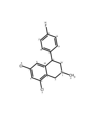 CN1Cc2c(Cl)cc(Cl)cc2C(c2ccc(F)cc2)C1